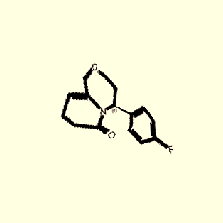 O=C1CCC=C2COC[C@@H](c3ccc(F)cc3)N12